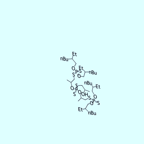 CCCCC(CC)COP(=S)(OCC(CC)CCCC)SCC(C)OP(=S)(OC(C)CSP(=S)(OCC(CC)CCCC)OCC(CC)CCCC)SCC(C)O